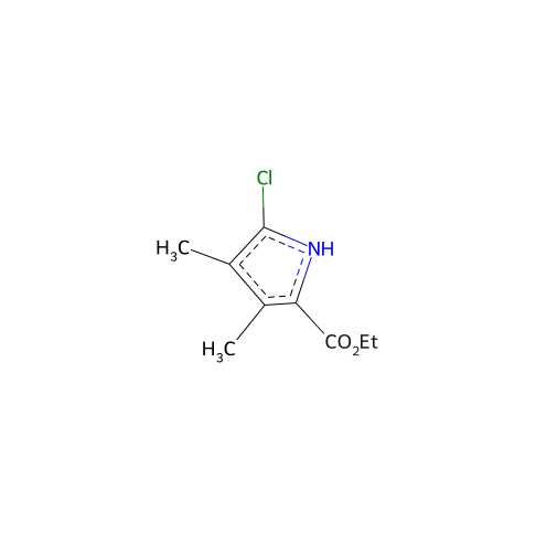 CCOC(=O)c1[nH]c(Cl)c(C)c1C